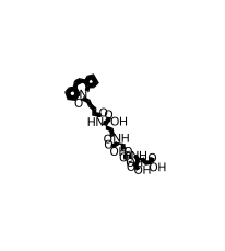 O=C(O)CC[C@H](NP(=O)(O)OCC[C@H](NC(=O)CC[C@@H](NC(=O)CCCCC(=O)N1Cc2ccccc2C#Cc2ccccc21)C(=O)O)C(=O)O)C(=O)O